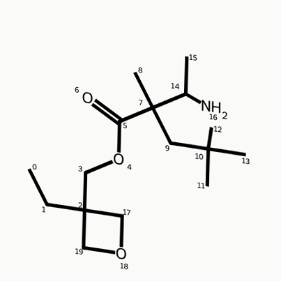 CCC1(COC(=O)C(C)(CC(C)(C)C)C(C)N)COC1